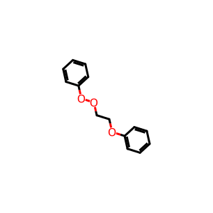 c1ccc(OCCOOc2ccccc2)cc1